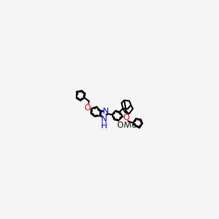 COc1cc(-c2nc3cc(OCc4ccccc4)ccc3[nH]2)cc(C23CC4CC(CC(C4)C2)C3)c1OCc1ccccc1